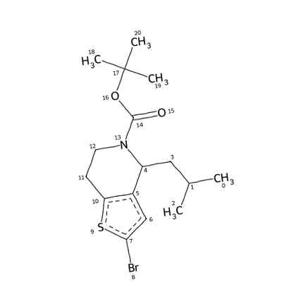 CC(C)CC1c2cc(Br)sc2CCN1C(=O)OC(C)(C)C